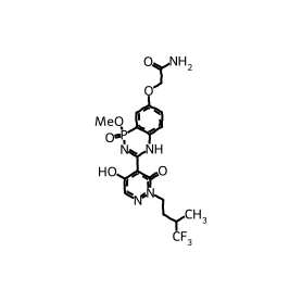 COP1(=O)N=C(c2c(O)cnn(CCC(C)C(F)(F)F)c2=O)Nc2ccc(OCC(N)=O)cc21